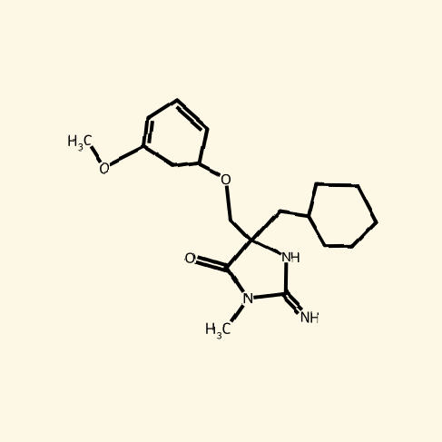 COC1=CC=CC(OCC2(CC3CCCCC3)NC(=N)N(C)C2=O)C1